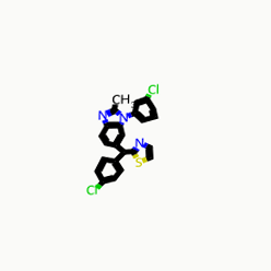 Cc1nc2ccc(C(c3ccc(Cl)cc3)c3nccs3)cc2n1-c1cccc(Cl)c1